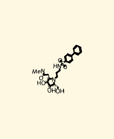 CNC(=O)C[C@@H]1[C@H](O)[C@H](O)[C@@H](CO)N1CCCNS(=O)(=O)c1ccc(-c2ccccc2)cc1